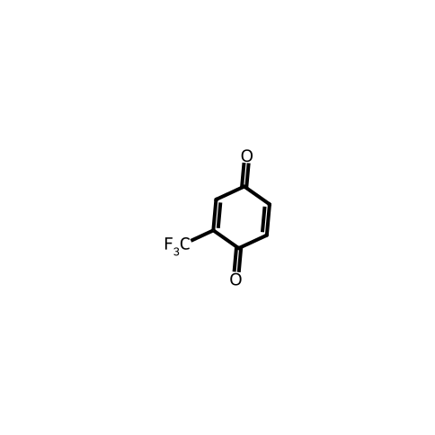 O=C1C=CC(=O)C(C(F)(F)F)=C1